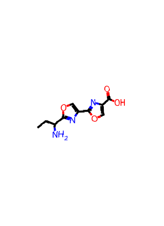 CCC(N)c1nc(-c2nc(C(=O)O)co2)co1